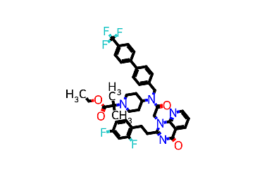 CCOC(=O)C(C)(C)N1CCC(N(Cc2ccc(-c3ccc(C(F)(F)F)cc3)cc2)C(=O)Cn2c(CCc3ccc(F)cc3F)nc(=O)c3cccnc32)CC1